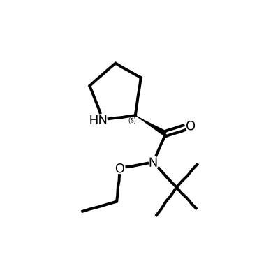 CCON(C(=O)[C@@H]1CCCN1)C(C)(C)C